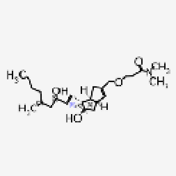 CCCC[C@H](C)C[C@H](O)/C=C/[C@@H]1[C@H]2CC(COCCC(=O)N(C)C)=C[C@H]2C[C@H]1O